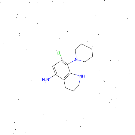 Nc1cc(Cl)c(N2CCCCC2)c2c1CCCN2